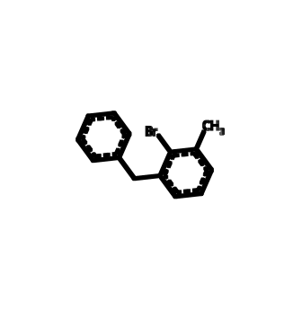 Cc1cccc(Cc2ccccc2)c1Br